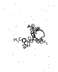 Cc1ccc(NC(=O)O[C@@H]2C[C@H]3C(=O)N[C@]4(C(=O)NS(=O)(=O)C5CC5)C[C@H]4/C=C\CCCCN(C)C(=O)[C@@H]3C2)c(C2=NCCS2)c1